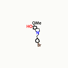 COc1cc2c(cc1O)CN(CCc1ccc(Br)cc1)CC2